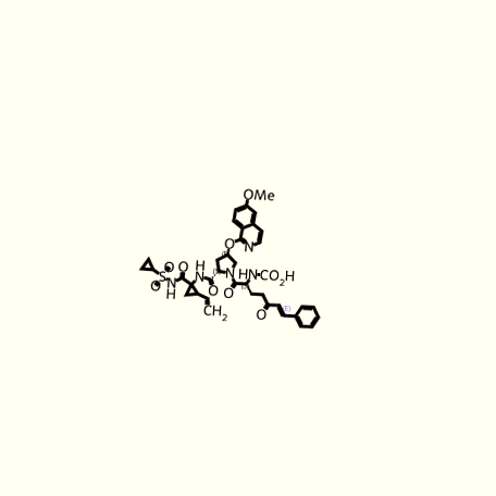 C=CC1CC1(NC(=O)[C@@H]1C[C@@H](Oc2nccc3cc(OC)ccc23)CN1C(=O)[C@H](CCC(=O)/C=C/c1ccccc1)NC(=O)O)C(=O)NS(=O)(=O)C1CC1